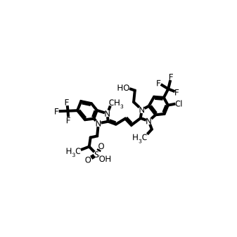 CCN1c2cc(Cl)c(C(F)(F)F)cc2N(CCO)C1C=CC=C1N(C)c2ccc(C(F)(F)F)cc2N1CCC(C)S(=O)(=O)O